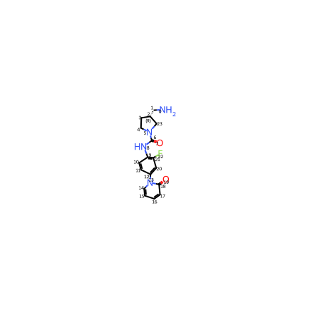 NC[C@H]1CCN(C(=O)Nc2ccc(-n3ccccc3=O)cc2F)C1